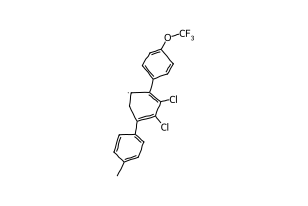 Cc1ccc(C2=C(Cl)C(Cl)=C(c3ccc(OC(F)(F)F)cc3)[CH]C2)cc1